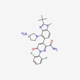 Cn1c(C(C)(C)C)nc2c(N3CC[C@H](N)C3)c(-c3cc(=O)n(-c4c(F)cccc4F)nc3C(N)=O)ccc21